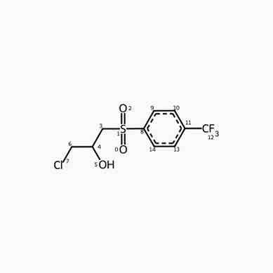 O=S(=O)(CC(O)CCl)c1ccc(C(F)(F)F)cc1